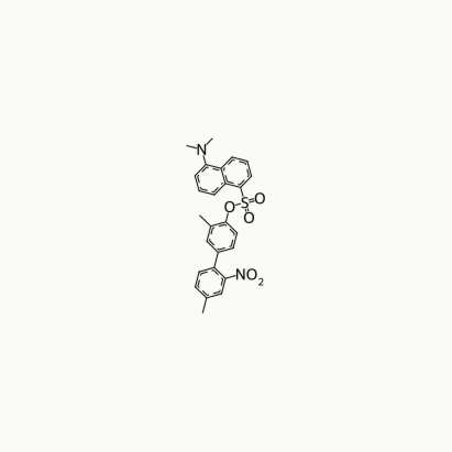 Cc1ccc(-c2ccc(OS(=O)(=O)c3cccc4c(N(C)C)cccc34)c(C)c2)c([N+](=O)[O-])c1